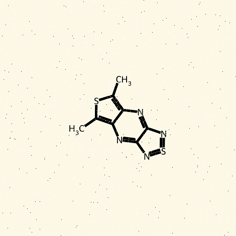 Cc1sc(C)c2nc3c(nc12)N=S=N3